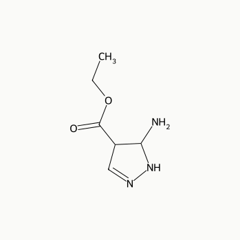 CCOC(=O)C1C=NNC1N